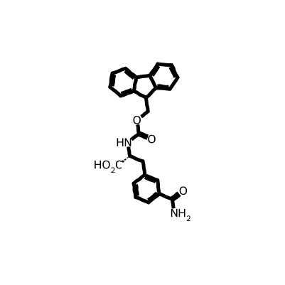 NC(=O)c1cccc(C[C@@H](NC(=O)OCC2c3ccccc3-c3ccccc32)C(=O)O)c1